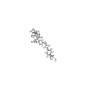 O=C(Nc1c[nH]c2ccc(O[C@H]3C[C@H](c4ccc(C(F)(F)F)cc4)C3)cc12)[C@@H]1CC2CC1C2